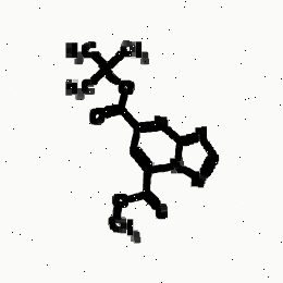 COC(=O)c1cc(C(=O)OC(C)(C)C)nc2ncnn12